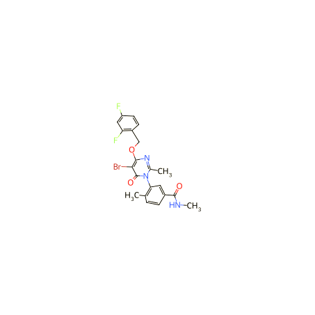 CNC(=O)c1ccc(C)c(-n2c(C)nc(OCc3ccc(F)cc3F)c(Br)c2=O)c1